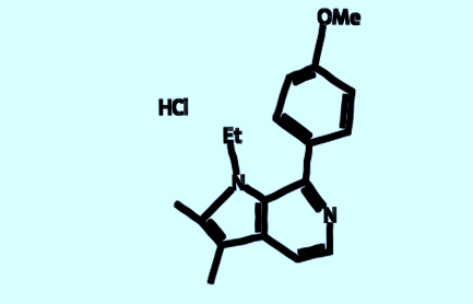 CCn1c(C)c(C)c2ccnc(-c3ccc(OC)cc3)c21.Cl